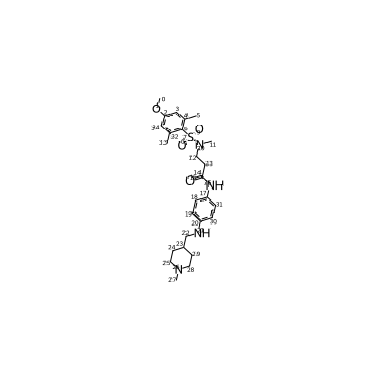 COc1cc(C)c(S(=O)(=O)N(C)CCC(=O)Nc2ccc(NCC3CCN(C)CC3)cc2)c(C)c1